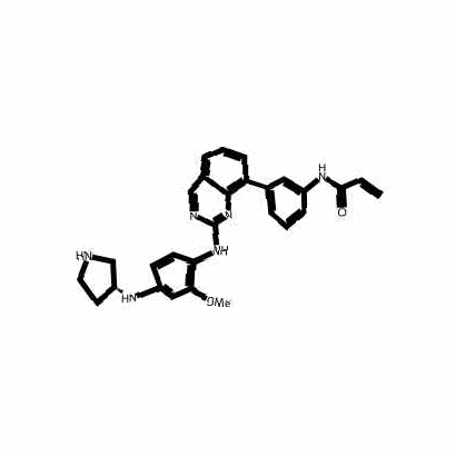 C=CC(=O)Nc1cccc(-c2cccc3cnc(Nc4ccc(N[C@@H]5CCNC5)cc4OC)nc23)c1